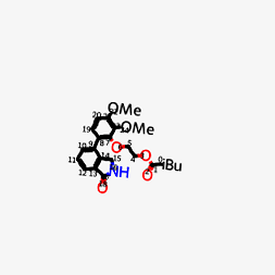 CCC(C)C(=O)OCCOc1c(-c2cccc3c2CNC3=O)ccc(OC)c1OC